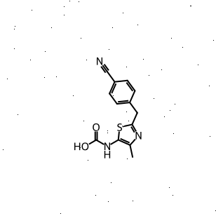 Cc1nc(Cc2ccc(C#N)cc2)sc1NC(=O)O